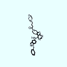 O=C(C=CCN1CCOCC1)N1CCc2c(sc3ncnc(Nc4ccc5c(cnn5Cc5ccccc5)c4)c23)C1